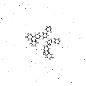 c1ccc(-c2nc(-c3cc(-c4ccncc4)cc(-c4ccc5c6ccccc6c6ccccc6c5c4)c3)cc(-c3ccc4oc5ccccc5c4c3)n2)cc1